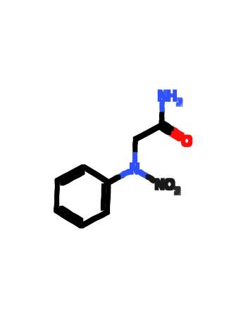 NC(=O)CN(c1ccccc1)[N+](=O)[O-]